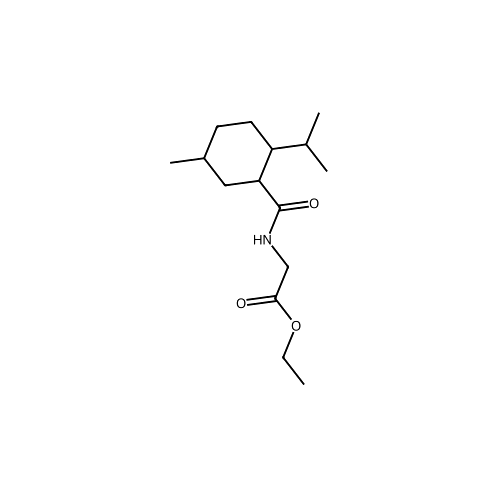 CCOC(=O)CNC(=O)C1CC(C)CCC1C(C)C